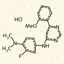 COc1ccccc1-c1cc(Nc2ccc(N(C)C)c(F)c2)ncn1.Cl